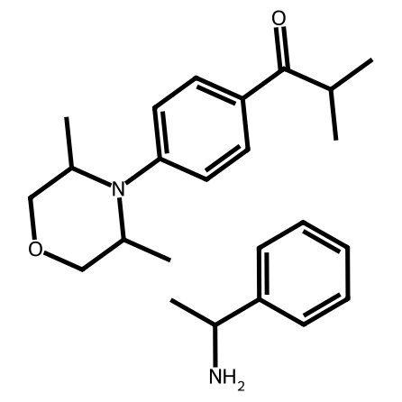 CC(C)C(=O)c1ccc(N2C(C)COCC2C)cc1.CC(N)c1ccccc1